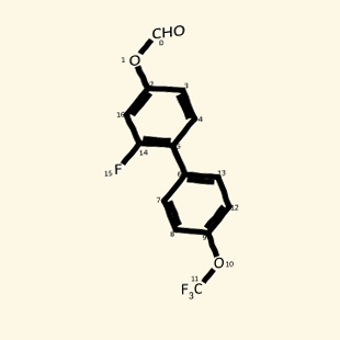 O=COc1ccc(-c2ccc(OC(F)(F)F)cc2)c(F)c1